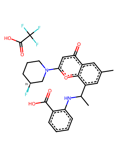 Cc1cc(C(C)Nc2ccccc2C(=O)O)c2oc(N3CCC[C@H](F)C3)cc(=O)c2c1.O=C(O)C(F)(F)F